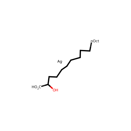 CCCCCCCCCCCCCCCCC(O)C(=O)O.[Ag]